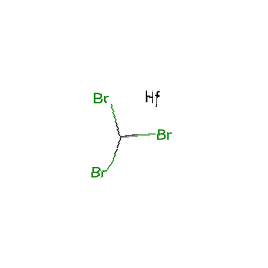 BrC(Br)Br.[Hf]